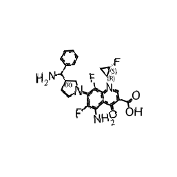 Nc1c(F)c(N2CC[C@@H](C(N)c3ccccc3)C2)c(F)c2c1c(=O)c(C(=O)O)cn2[C@@H]1C[C@@H]1F